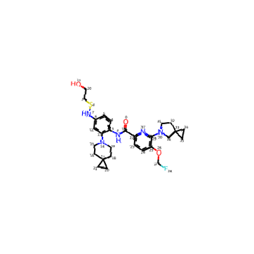 O=C(Nc1ccc(NSCCO)cc1N1CCC2(CC1)CC2)c1ccc(OCF)c(N2CCC3(CC3)C2)n1